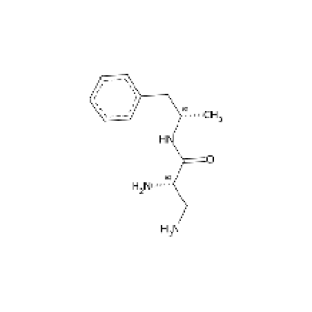 C[C@@H](Cc1ccccc1)NC(=O)[C@@H](N)CN